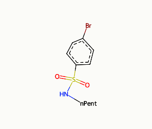 CCCCCNS(=O)(=O)c1ccc(Br)cc1